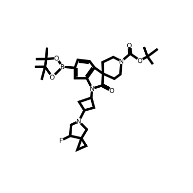 CC(C)(C)OC(=O)N1CCC2(CC1)C(=O)N(C1CC(N3CC(F)C4(CC4)C3)C1)c1cc(B3OC(C)(C)C(C)(C)O3)ccc12